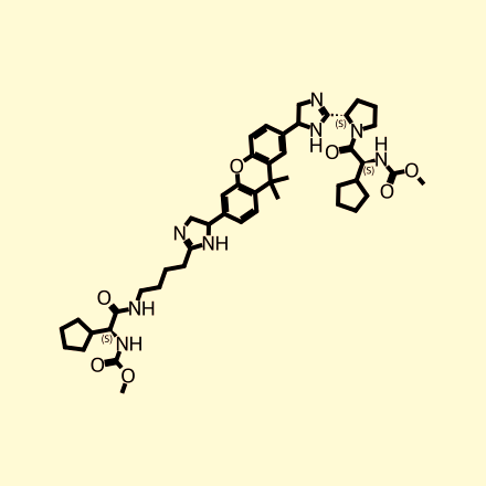 COC(=O)N[C@H](C(=O)NCCCCC1=NCC(c2ccc3c(c2)Oc2ccc(C4CN=C([C@@H]5CCCN5C(=O)[C@@H](NC(=O)OC)C5CCCC5)N4)cc2C3(C)C)N1)C1CCCC1